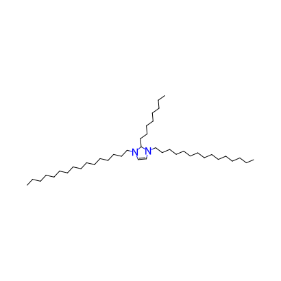 CCCCCCCCCCCCCCCCN1C=CN(CCCCCCCCCCCCCCC)C1CCCCCCCC